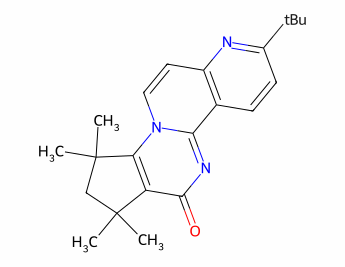 CC(C)(C)c1ccc2c(ccn3c4c(c(=O)nc23)C(C)(C)CC4(C)C)n1